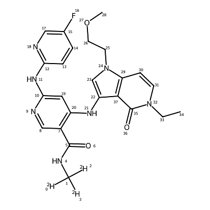 [2H]C([2H])([2H])NC(=O)c1cnc(Nc2ccc(F)cn2)cc1Nc1cn(CCOC)c2ccn(CC)c(=O)c12